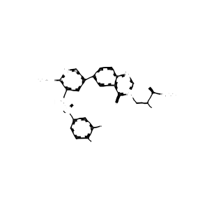 CNC(=O)C(C)Cn1cnc2ccc(-c3cnc(OC)c(NS(=O)(=O)c4ccc(Cl)c(Cl)c4)c3)cc2c1=O